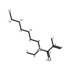 C=C(C)C(=O)N(CC)CCCCCCC